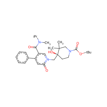 CC(C)N(C)C(=O)c1cn(C[C@@]2(O)CCN(C(=O)OC(C)(C)C)CC2(C)C)c(=O)cc1-c1ccccc1